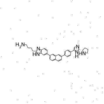 NCCCCc1nc2ccc(-c3ccc4ccc(-c5ccc(-c6cnc([C@@H]7CCCN7)[nH]6)cc5)cc4c3)cc2[nH]1